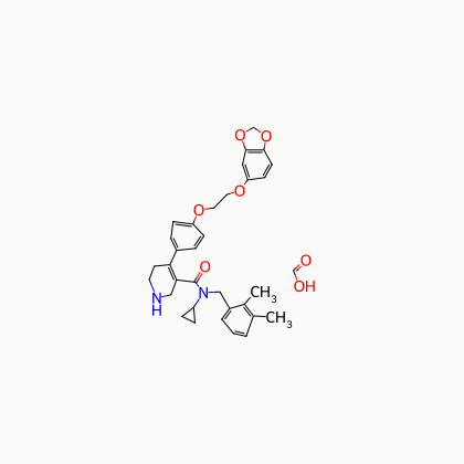 Cc1cccc(CN(C(=O)C2=C(c3ccc(OCCOc4ccc5c(c4)OCO5)cc3)CCNC2)C2CC2)c1C.O=CO